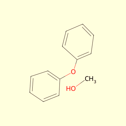 CO.c1ccc(Oc2ccccc2)cc1